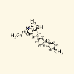 C=CCO/N=C(/C)C1=C(O)CC(c2cccc(Oc3ccc(C)cc3)c2)CC1=O